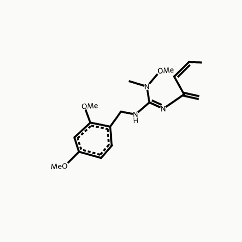 C=C(/C=C\C)/N=C(/NCc1ccc(OC)cc1OC)N(C)OC